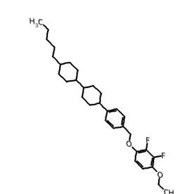 CCCCCC1CCC(C2CCC(c3ccc(COc4ccc(OCC)c(F)c4F)cc3)CC2)CC1